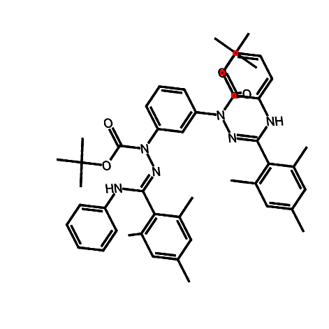 Cc1cc(C)c(/C(=N/N(C(=O)OC(C)(C)C)c2cccc(N(/N=C(\Nc3ccccc3)c3c(C)cc(C)cc3C)C(=O)OC(C)(C)C)c2)Nc2ccccc2)c(C)c1